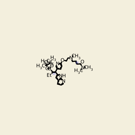 CC/C(B1OC(C)(C)C(C)(C)O1)=C(/c1ccc(OCCN(C)C/C=C/C(=O)N(C)C)nc1)c1cc2cccnc2[nH]1